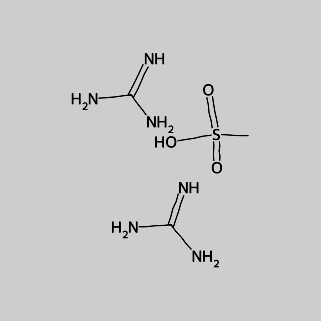 CS(=O)(=O)O.N=C(N)N.N=C(N)N